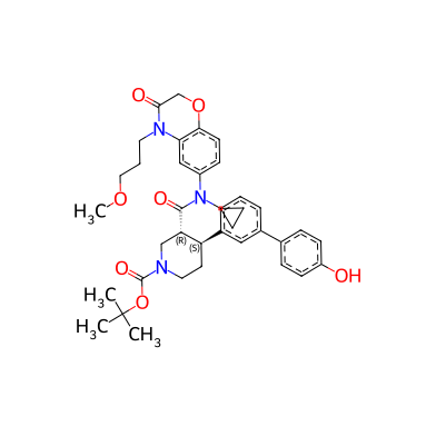 COCCCN1C(=O)COc2ccc(N(C(=O)[C@H]3CN(C(=O)OC(C)(C)C)CC[C@@H]3c3cccc(-c4ccc(O)cc4)c3)C3CC3)cc21